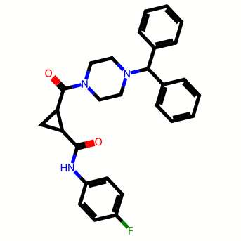 O=C(Nc1ccc(F)cc1)C1CC1C(=O)N1CCN(C(c2ccccc2)c2ccccc2)CC1